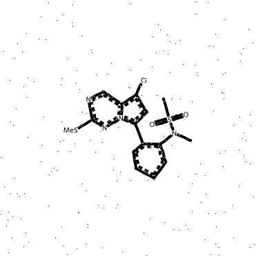 CSc1ncc2c(Cl)cc(-c3ccccc3N(C)S(C)(=O)=O)n2n1